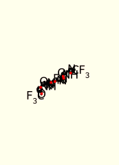 O=C(NCc1cccc(OC(F)(F)F)c1)c1cn(CCC(F)Cn2cc(C(=O)NCc3ccc(C(F)(F)F)nc3)nn2)nn1